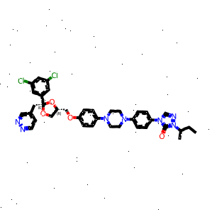 CCC(C)n1ncn(-c2ccc(N3CCN(c4ccc(OC[C@@H]5CO[C@@](Cc6ccnnc6)(c6cc(Cl)cc(Cl)c6)O5)cc4)CC3)cc2)c1=O